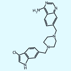 Nc1ncnc2cc(CN3CCN(Cc4ccc5c(Cl)c[nH]c5c4)CC3)ccc12